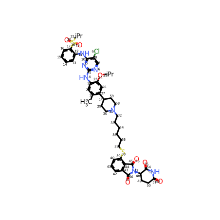 Cc1cc(Nc2ncc(Cl)c(Nc3ccccc3S(=O)(=O)C(C)C)n2)c(OC(C)C)cc1C1CCN(CCCCCCSc2cccc3c2C(=O)N(C2CCC(=O)NC2=O)C3=O)CC1